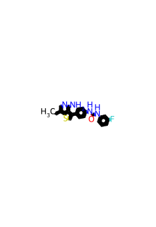 CCc1cnc(N)c2c(-c3ccc(NC(=O)Nc4cccc(F)c4)cc3)csc12